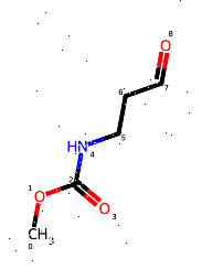 COC(=O)NCCC=O